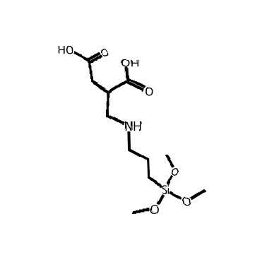 CO[Si](CCCNCC(CC(=O)O)C(=O)O)(OC)OC